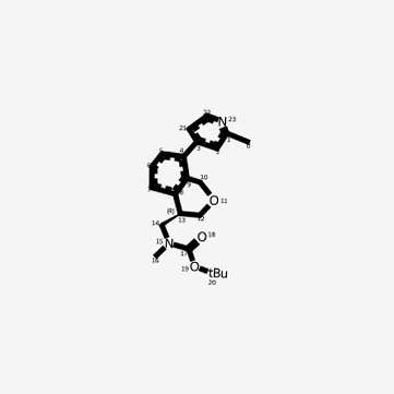 Cc1cc(-c2cccc3c2COC[C@H]3CN(C)C(=O)OC(C)(C)C)ccn1